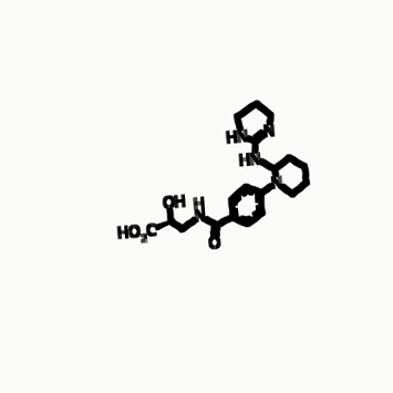 O=C(NC[C@H](O)C(=O)O)c1ccc(N2CCCCC2NC2=NCCCN2)cc1